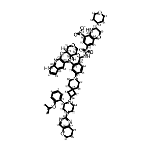 CC(C)Oc1ccccc1[C@@H]1CN(c2ncc3c(n2)CCCO3)CCN1C1CC2(CCN(c3ccc(C(=O)NS(=O)(=O)c4cc5c(c([N+](=O)[O-])c4)N[C@H](C4CCOCC4)CO5)c(N4c5cc6cc[nH]c6nc5O[C@H]5COCC[C@@H]54)c3)CC2)C1